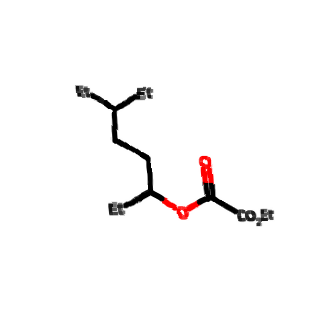 CCOC(=O)C(=O)OC(CC)CCC(CC)CC